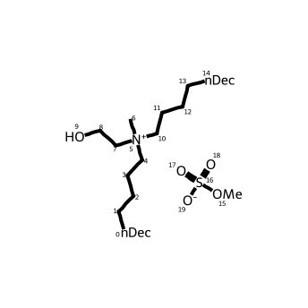 CCCCCCCCCCCCCC[N+](C)(CCO)CCCCCCCCCCCCCC.COS(=O)(=O)[O-]